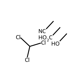 CC#N.CC(=O)O.CO.ClC(Cl)Cl